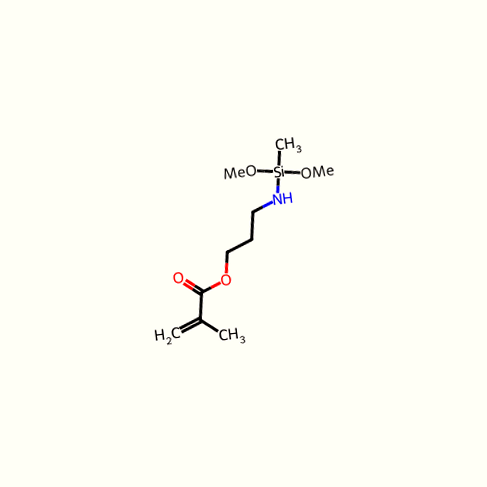 C=C(C)C(=O)OCCCN[Si](C)(OC)OC